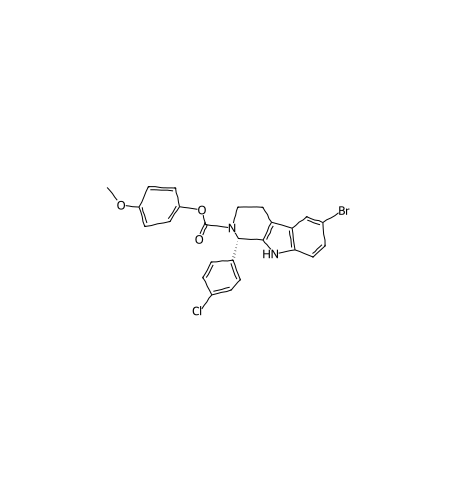 COc1ccc(OC(=O)N2CCc3c([nH]c4ccc(Br)cc34)[C@@H]2c2ccc(Cl)cc2)cc1